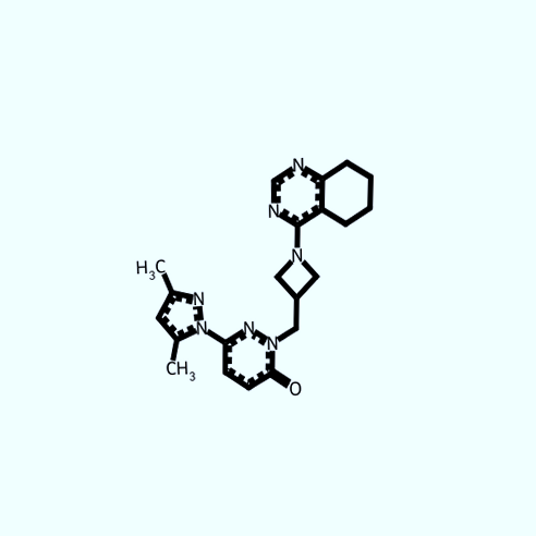 Cc1cc(C)n(-c2ccc(=O)n(CC3CN(c4ncnc5c4CCCC5)C3)n2)n1